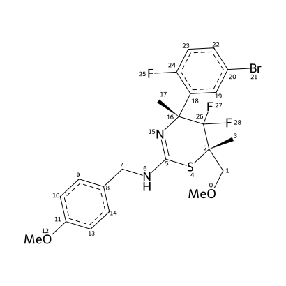 COC[C@]1(C)SC(NCc2ccc(OC)cc2)=N[C@](C)(c2cc(Br)ccc2F)C1(F)F